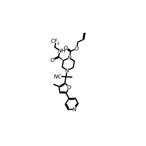 C=CCOC(=O)N1CCN(C(C)(C#N)c2oc(-c3ccncc3)cc2C)C[C@H]1C(=O)NCC(F)(F)F